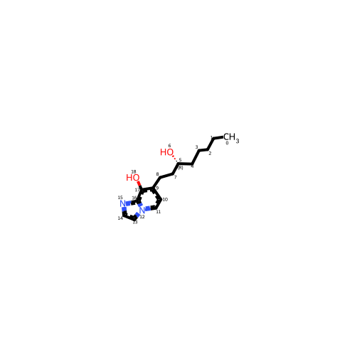 CCCCC[C@@H](O)CCc1ccn2ccnc2c1O